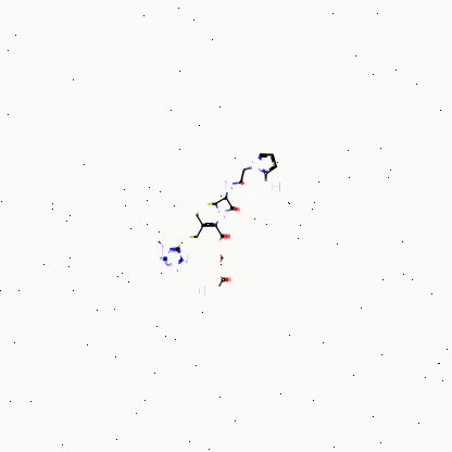 Cn1nnnc1SCC1=C(C(=O)OCOC(=O)C(C)(C)C)N2C(=O)C(NC(=O)Cn3cccc3C=O)C2SC1